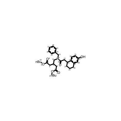 CCCCOC(=O)CC(CC(=O)OCCCC)CN(Cc1ccccc1)C(=O)CC1CCCc2cc(O)ccc21